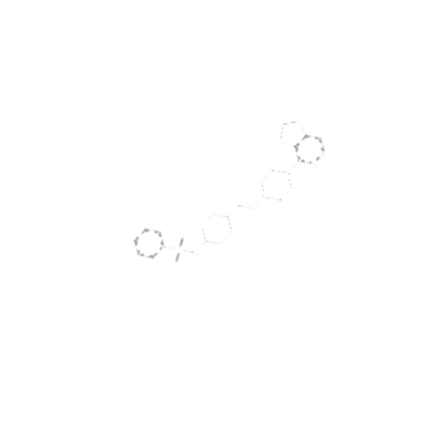 O=S(=O)(NC1CCC(CCN2CCN(c3nccc4c3CCO4)CC2)CC1)c1ccccc1